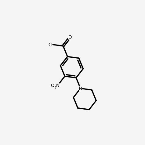 O=C(Cl)c1ccc(N2CCCCC2)c([N+](=O)[O-])c1